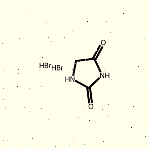 Br.Br.O=C1CNC(=O)N1